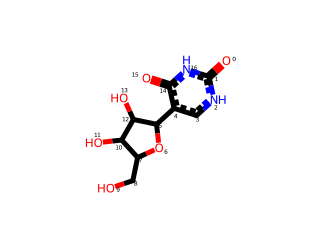 O=c1[nH]cc(C2OC(CO)C(O)C2O)c(=O)[nH]1